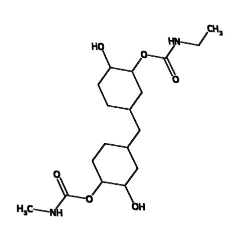 CCNC(=O)OC1CC(CC2CCC(OC(=O)NC)C(O)C2)CCC1O